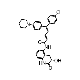 O=C(/C=C/C=C(/c1ccc(Cl)cc1)c1ccc(N2CCCCC2)cc1)Nc1cccc2c1CC(O)C(=O)N2